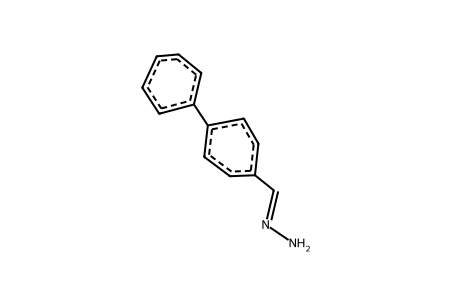 NN=Cc1ccc(-c2ccccc2)cc1